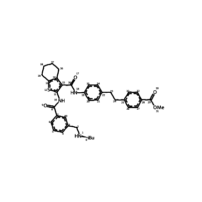 CC[C@H](C)NCc1cccc(C(=O)Nc2sc3c(c2C(=O)Nc2ccc(CCc4ccc(C(=O)OC)cc4)cc2)CCCC3)c1